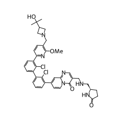 COc1nc(-c2cccc(-c3cccc(-c4ccn5c(=O)c(CNC[C@H]6CCC(=O)N6)cnc5c4)c3Cl)c2Cl)ccc1CN1CC(C(C)(C)O)C1